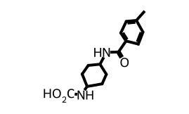 Cc1ccc(C(=O)NC2CCC(NC(=O)O)CC2)cc1